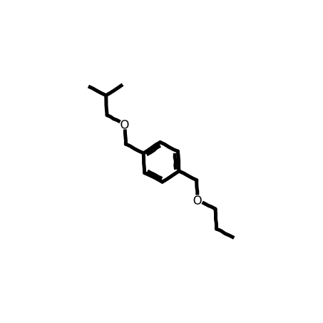 CCCOCc1ccc(COCC(C)C)cc1